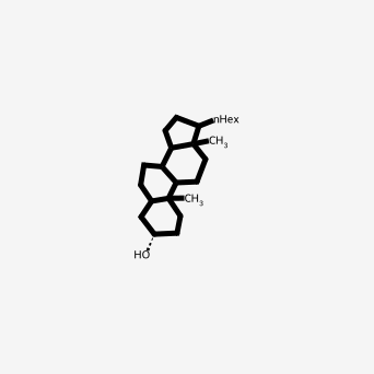 CCCCCCC1CCC2C3CCC4C[C@@H](O)CCC4(C)C3CCC12C